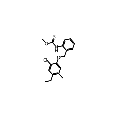 CCc1cc(Cl)c(OCc2ccccc2NC(=S)OC)cc1C